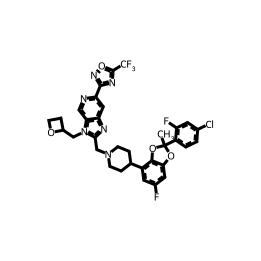 CC1(c2ccc(Cl)cc2F)Oc2cc(F)cc(C3CCN(Cc4nc5cc(-c6noc(C(F)(F)F)n6)ncc5n4CC4CCO4)CC3)c2O1